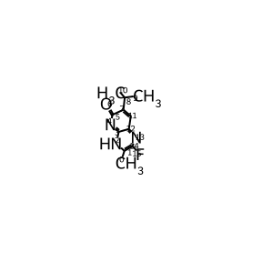 Cc1[nH]c2nc(=O)c(C(C)C)cc-2nc1F